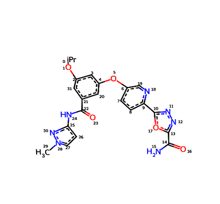 CC(C)Oc1cc(Oc2ccc(-c3nnc(C(N)=O)o3)nc2)cc(C(=O)Nc2ccn(C)n2)c1